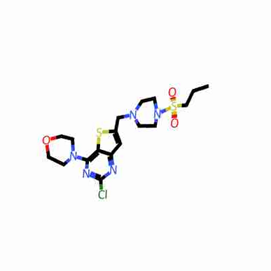 CCCS(=O)(=O)N1CCN(Cc2cc3nc(Cl)nc(N4CCOCC4)c3s2)CC1